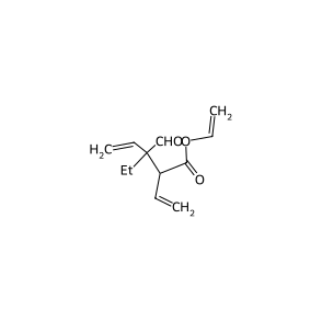 C=COC(=O)C(C=C)C(C=C)(C=O)CC